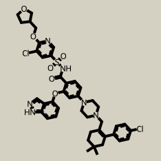 CC1(C)CCC(CN2CCN(c3ccc(C(=O)NS(=O)(=O)c4cnc(OCC5CCOC5)c(Cl)c4)c(Oc4cccc5[nH]ncc45)c3)CC2)=C(c2ccc(Cl)cc2)C1